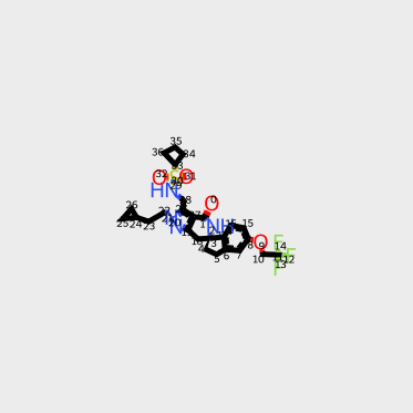 O=C1N[C@@]2(CCc3cc(OCC(F)(F)F)ccc32)Cc2nn(CCC3CC3)c(CNS(=O)(=O)C3CCC3)c21